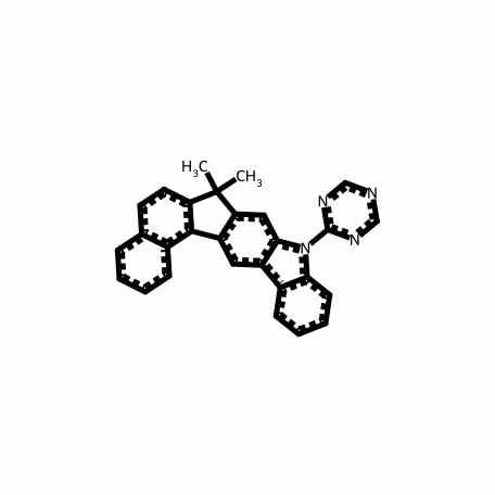 CC1(C)c2cc3c(cc2-c2c1ccc1ccccc21)c1ccccc1n3-c1ncncn1